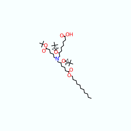 CCCCCCCCCCCOC(=O)CCCC(CN(CCCCC(=O)OC(C)(C)C)CC(CCCCCC(=O)O)O[Si](C)(C)C(C)(C)C)O[Si](C)(C)C(C)(C)C